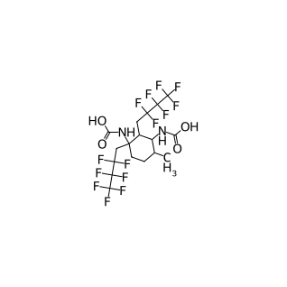 CC1CCC(CC(F)(F)C(F)(F)C(F)(F)F)(NC(=O)O)C(CC(F)(F)C(F)(F)C(F)(F)F)C1NC(=O)O